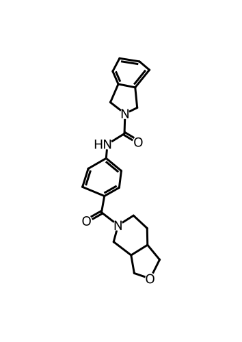 O=C(Nc1ccc(C(=O)N2CCC3COCC3C2)cc1)N1Cc2ccccc2C1